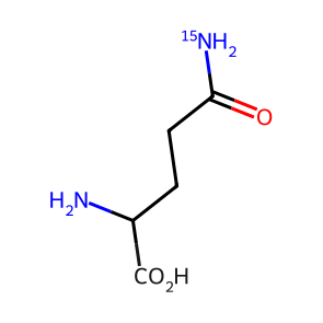 NC(CCC([15NH2])=O)C(=O)O